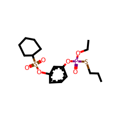 CCCSP(=O)(OCC)Oc1cccc(OS(=O)(=O)C2CCCCC2)c1